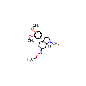 CCON=C1CC[C@@]2(c3ccc(OC)c(OC)c3)CCN(C)[C@H]2C1